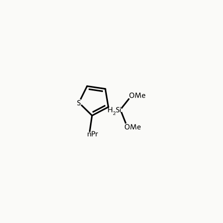 CCCc1cccs1.CO[SiH2]OC